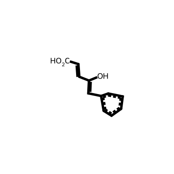 O=C(O)C=CC(O)=Cc1ccccc1